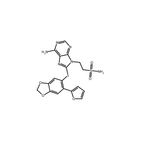 Nc1ncnc2c1nc(Sc1cc3c(cc1-c1ccco1)OCO3)n2CCS(N)(=O)=O